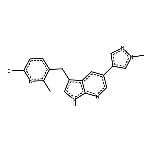 Cc1nc(Cl)ccc1Cc1c[nH]c2ncc(-c3cnn(C)c3)cc12